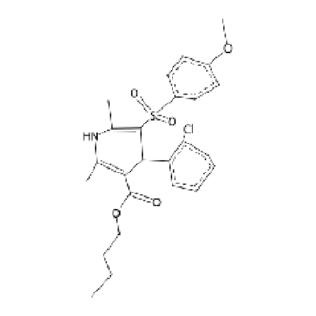 CCCCOC(=O)C1=C(C)NC(C)=C(S(=O)(=O)c2ccc(OC)cc2)C1c1ccccc1Cl